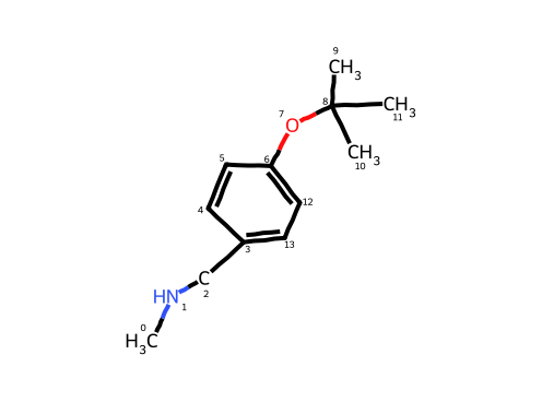 CNCc1ccc(OC(C)(C)C)cc1